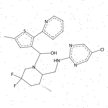 Cc1cc(C(O)N2CC(F)(F)C[C@@H](C)C2CNc2ncc(Cl)cn2)c(-c2ccccn2)s1